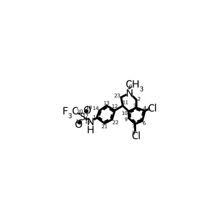 CN1Cc2c(Cl)cc(Cl)cc2C(c2ccc(NS(=O)(=O)C(F)(F)F)cc2)C1